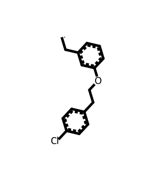 [CH2]Cc1cccc(OCCc2ccc(Cl)cc2)c1